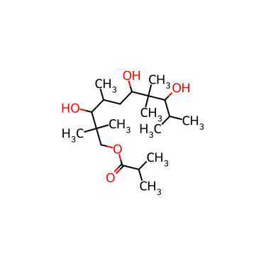 CC(C)C(=O)OCC(C)(C)C(O)C(C)CC(O)C(C)(C)C(O)C(C)C